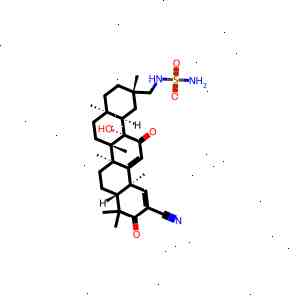 CC1(C)C(=O)C(C#N)=C[C@]2(C)C3=CC(=O)[C@]4(O)[C@@H]5C[C@@](C)(CNS(N)(=O)=O)CC[C@]5(C)CC[C@@]4(C)[C@]3(C)CC[C@@H]12